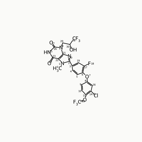 Cn1c(-c2ccc(Oc3ccc(OC(F)(F)F)c(Cl)c3)c(F)c2)nc2c1c(=O)[nH]c(=O)n2CC(O)C(F)(F)F